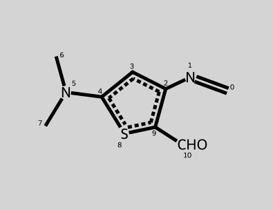 C=Nc1cc(N(C)C)sc1C=O